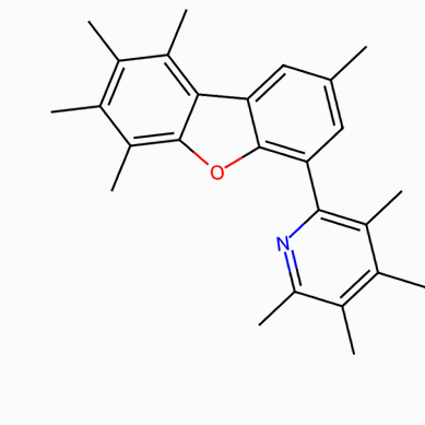 Cc1cc(-c2nc(C)c(C)c(C)c2C)c2oc3c(C)c(C)c(C)c(C)c3c2c1